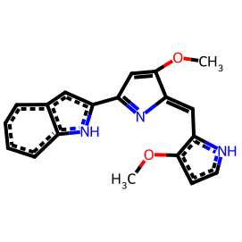 COC1=CC(c2cc3ccccc3[nH]2)=NC1=Cc1[nH]ccc1OC